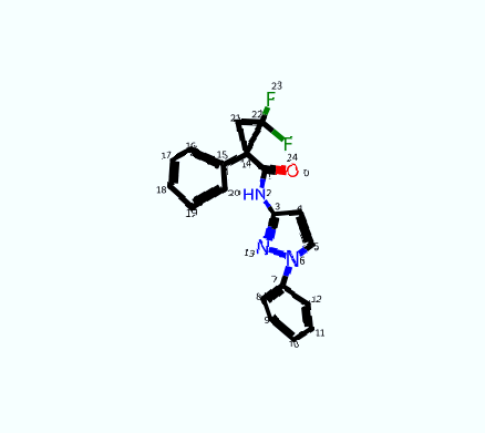 O=C(Nc1ccn(-c2ccccc2)n1)C1(c2ccccc2)CC1(F)F